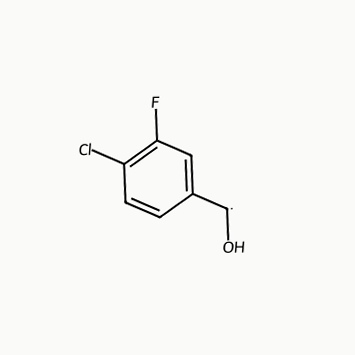 O[CH]c1ccc(Cl)c(F)c1